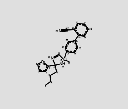 CCCCC1(c2ccco2)N=C[N+](C)(c2ccc(-c3ccccc3C#N)cc2)N1